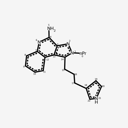 CCCn1nc2c(N)nc3ccccc3c2c1CCCc1cc[nH]c1